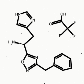 N[C@@H](Cc1c[nH]cn1)c1nc(Cc2ccccc2)no1.O=C(O)C(F)(F)F